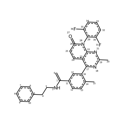 C=C(NCCc1ccccc1)c1ccc(C)c(-c2nc(C)nc3c2ccc(=O)n3-c2c(F)cccc2F)c1